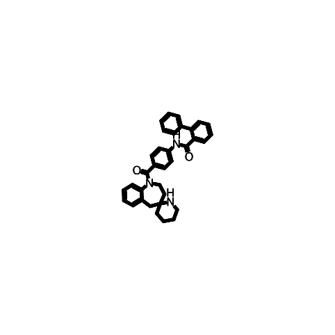 O=C(Nc1ccc(C(=O)N2CCC3(CCCCN3)Cc3ccccc32)cc1)c1ccccc1-c1ccccc1